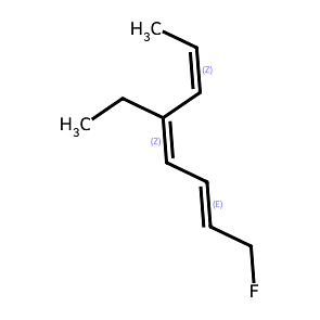 C\C=C/C(=C\C=C\CF)CC